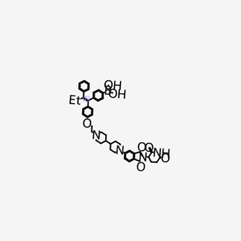 CC/C(=C(\c1ccc(OCCN2CCC(C3CCN(c4ccc5c(c4)C(=O)N(C4CCC(=O)NC4=O)C5=O)CC3)CC2)cc1)c1ccc(B(O)O)cc1)c1ccccc1